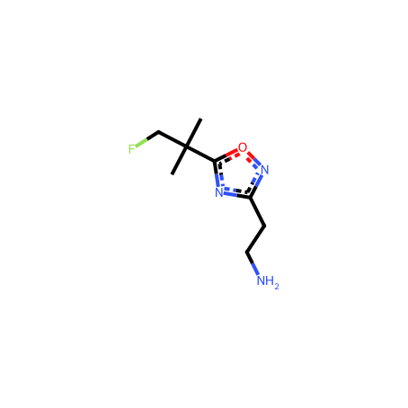 CC(C)(CF)c1nc(CCN)no1